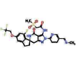 C/N=C/c1ccc(-n2nc3c(c2NC(=O)CS(C)(=O)=O)C(=O)N[C@]2(CCc4cc(OCC(F)(F)F)cc(F)c42)C3)nc1